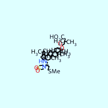 C=C(C)[C@@H]1CC[C@]2(NC[C@@H](CCSC)N3CCS(=O)(=O)CC3)CC[C@]3(C)[C@H](CC[C@@H]4[C@@]5(C)CC[C@H](OC(=O)CC(C)(C)CC(=O)O)C(C)(C)[C@@H]5CC[C@]43C)[C@@H]12